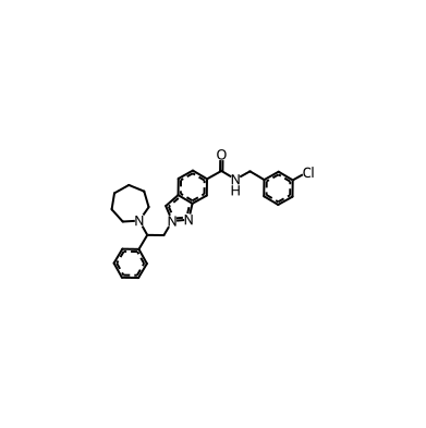 O=C(NCc1cccc(Cl)c1)c1ccc2cn(CC(c3ccccc3)N3CCCCCC3)nc2c1